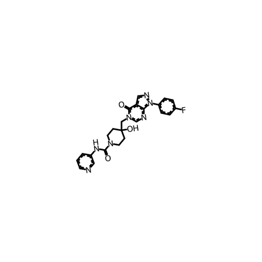 O=C(Nc1cccnc1)N1CCC(O)(Cn2cnc3c(cnn3-c3ccc(F)cc3)c2=O)CC1